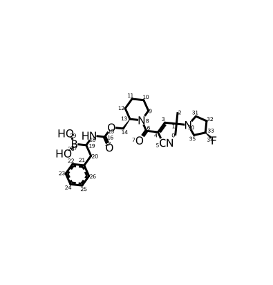 CC(C)(C=C(C#N)C(=O)N1CCCC[C@@H]1COC(=O)NC(Cc1ccccc1)B(O)O)N1CC[C@@H](F)C1